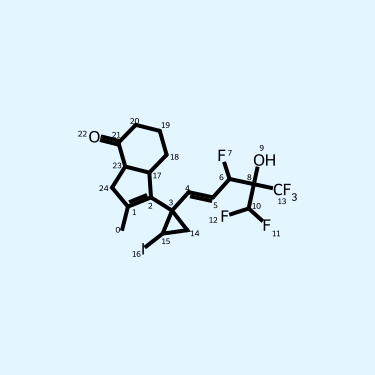 CC1=C(C2(C=CC(F)C(O)(C(F)F)C(F)(F)F)CC2I)C2CCCC(=O)C2C1